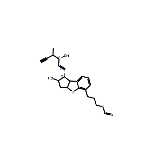 C#CC(C)[C@H](O)/C=C/[C@H]1C(O)CC2Oc3c(CCCOC=O)cccc3C21